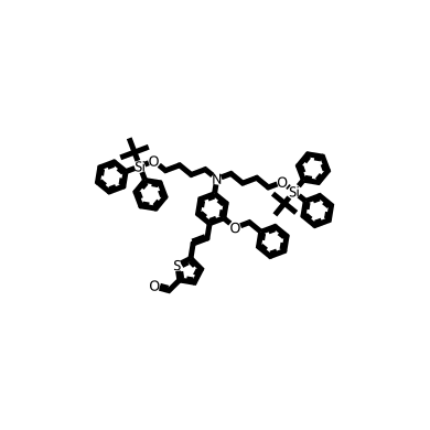 CC(C)(C)[Si](OCCCCN(CCCCO[Si](c1ccccc1)(c1ccccc1)C(C)(C)C)c1ccc(C=Cc2ccc(C=O)s2)c(OCc2ccccc2)c1)(c1ccccc1)c1ccccc1